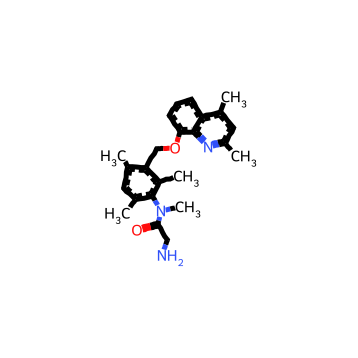 Cc1cc(C)c2cccc(OCc3c(C)cc(C)c(N(C)C(=O)CN)c3C)c2n1